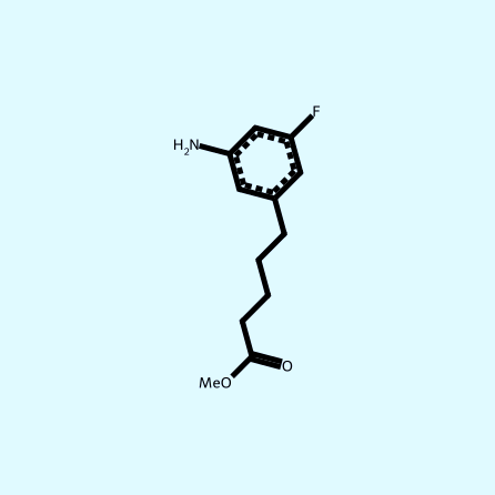 COC(=O)CCCCc1cc(N)cc(F)c1